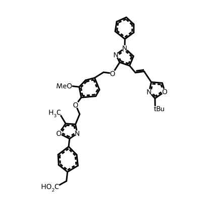 COc1cc(COc2nn(-c3ccccc3)cc2C=Cc2coc(C(C)(C)C)n2)ccc1OCc1nc(-c2ccc(CC(=O)O)cc2)oc1C